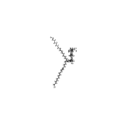 CCCCCCCCCCCCCCCCCC[NH+](C)CCCCCCCCCCCCCCCCCC.C[B-](C)(C)C.C[B-](C)(C)C.[NH3+]C(F)(F)F